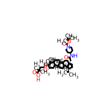 C=C(C)[C@@H]1CC[C@]2(CC(=O)NC3CCN(C(=O)OC(C)(C)C)CC3)CC[C@]3(C)[C@H](CC[C@@H]4[C@@]5(C)CC[C@H](OC(=O)CC(C)(C)C(=O)O)C(C)(C)[C@@H]5CC[C@]43C)[C@@H]12